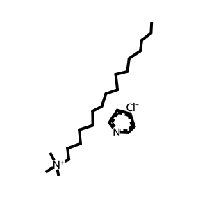 CCCCCCCCCCCCCCCC[N+](C)(C)C.[Cl-].c1ccncc1